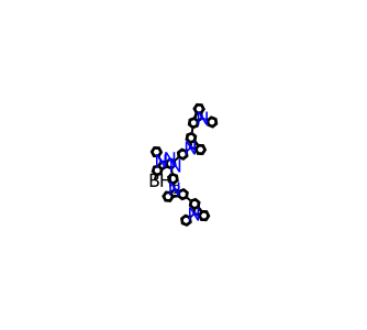 Bc1ccc2c(c1)c1c(-c3ccc(-n4c5ccccc5c5cc(-c6ccc7c8ccccc8n(-c8ccccc8)c7c6)ccc54)cc3)nc(-c3ccc(-n4c5ccccc5c5cc(-c6ccc7c8ccccc8n(-c8ccccc8)c7c6)ccc54)cc3)nc1n2-c1ccccc1